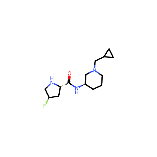 O=C(N[C@@H]1CCCN(CC2CC2)C1)[C@@H]1C[C@@H](F)CN1